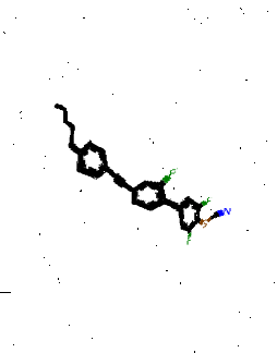 CCCCCc1ccc(C#Cc2ccc(-c3cc(F)c(SC#N)c(F)c3)c(F)c2)cc1